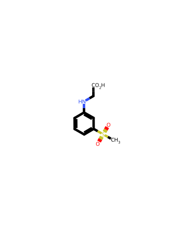 CS(=O)(=O)c1cccc(NCC(=O)O)c1